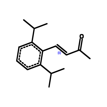 CC(=O)/C=C/c1c(C(C)C)cccc1C(C)C